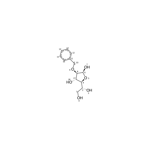 OC[C@@H](O)[C@@H]1O[C@H](O)[C@H](OSc2ccccc2)[C@H]1O